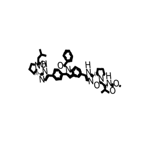 COC(=O)N[C@H](C(=O)N1CCC[C@H]1c1ncc(-c2ccc3c(c2)cc2n3C(c3ccccc3)Oc3cc(-c4cnc([C@@H]5CCCN5C(=O)CC(C)C)[nH]4)ccc3-2)[nH]1)C(C)C